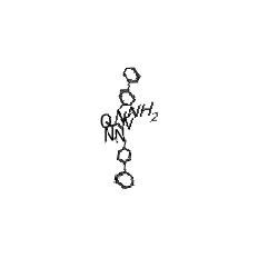 Nc1nc2c(c(=O)ncn2Cc2ccc(-c3ccccc3)cc2)n1Cc1ccc(-c2ccccc2)cc1